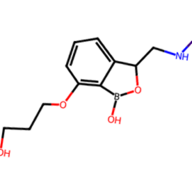 OCCCOc1cccc2c1B(O)OC2CNI